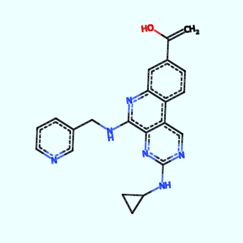 C=C(O)c1ccc2c(c1)nc(NCc1cccnc1)c1nc(NC3CC3)ncc12